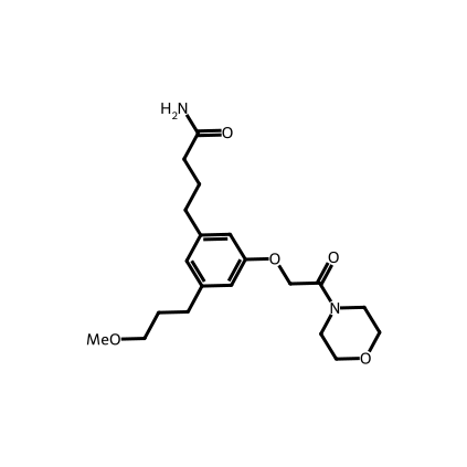 COCCCc1cc(CCCC(N)=O)cc(OCC(=O)N2CCOCC2)c1